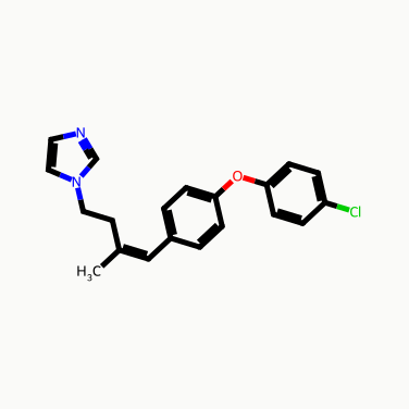 CC(=Cc1ccc(Oc2ccc(Cl)cc2)cc1)CCn1ccnc1